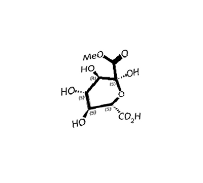 COC(=O)[C@@]1(O)O[C@H](C(=O)O)[C@@H](O)[C@H](O)[C@H]1O